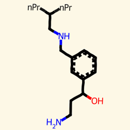 CCCC(CCC)CNCc1cccc(C(O)CCN)c1